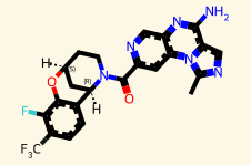 Cc1ncc2c(N)nc3cnc(C(=O)N4CC[C@H]5C[C@@H]4c4ccc(C(F)(F)F)c(F)c4O5)cc3n12